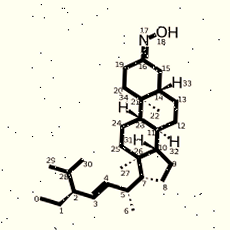 CC[C@H](C=C[C@@H](C)[C@H]1CC[C@H]2[C@@H]3CC[C@H]4CC(=NO)CC[C@]4(C)[C@H]3CC[C@]12C)C(C)C